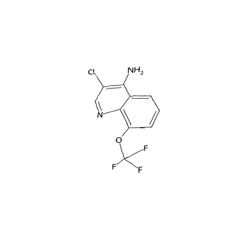 Nc1c(Cl)cnc2c(OC(F)(F)F)cccc12